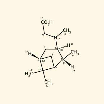 C[C@@H]1C2C[C@@H](C[C@H]1N(C)CC(=O)O)C2(C)C